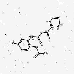 O=C(O)Nc1ccc(Br)cc1NC(=O)CC(=O)c1cnccn1